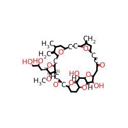 C=C1CC2CCC(=O)CC3OC4C(O)[C@H]5OC(CCC5O[C@H]4C3O)CC(=O)C[C@H]3C(CC4OC(CCC1O2)CC(C)C4=C)O[C@H](CC(O)CO)[C@@H]3OC